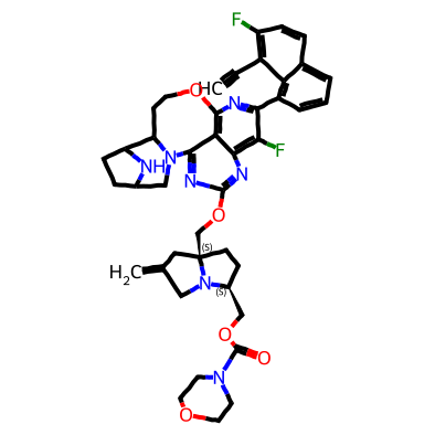 C#Cc1c(F)ccc2cccc(-c3nc4c5c(nc(OC[C@@]67CC[C@@H](COC(=O)N8CCOCC8)N6CC(=C)C7)nc5c3F)N3CC5CCC(N5)C3CCO4)c12